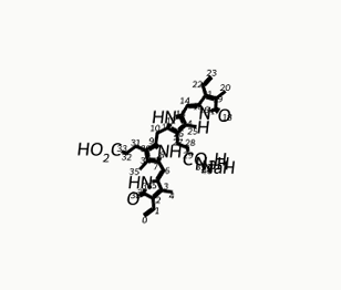 C=CC1=C(C)/C(=C/c2[nH]c(Cc3[nH]c(/C=C4\NC(=O)C(C)=C4C=C)c(C)c3CCC(=O)O)c(CCC(=O)O)c2C)NC1=O.[NaH].[NaH]